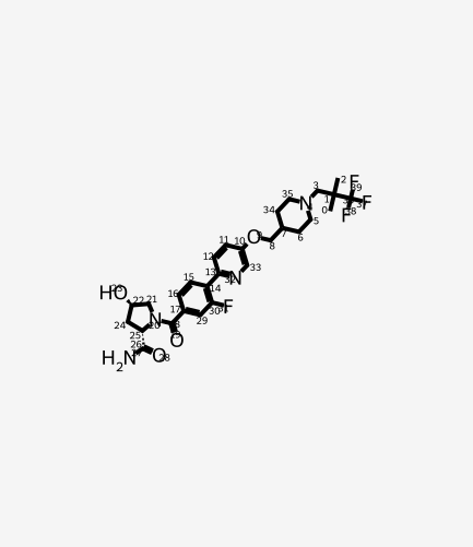 CC(C)(CN1CCC(COc2ccc(-c3ccc(C(=O)N4C[C@H](O)C[C@H]4C(N)=O)cc3F)nc2)CC1)C(F)(F)F